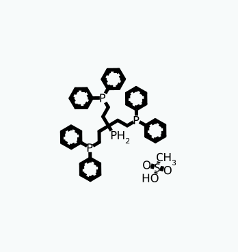 CS(=O)(=O)O.PC(CCP(c1ccccc1)c1ccccc1)(CCP(c1ccccc1)c1ccccc1)CCP(c1ccccc1)c1ccccc1